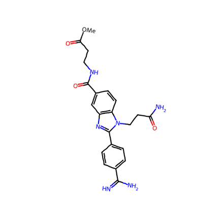 COC(=O)CCNC(=O)c1ccc2c(c1)nc(-c1ccc(C(=N)N)cc1)n2CCC(N)=O